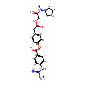 CN(C(=O)COC(=O)Cc1ccc(OC(=O)c2ccc(NC(=N)N)cc2)cc1)C1CCCC1